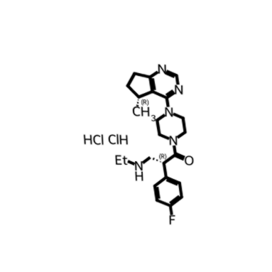 CCNC[C@H](C(=O)N1CCN(c2ncnc3c2[C@H](C)CC3)CC1)c1ccc(F)cc1.Cl.Cl